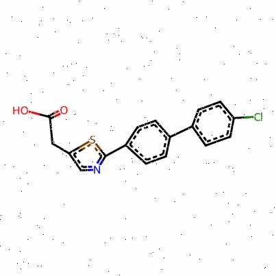 O=C(O)Cc1cnc(-c2ccc(-c3ccc(Cl)cc3)cc2)s1